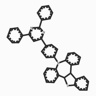 c1ccc(-c2cc(-c3ccc(N4c5ccccc5C5Sc6ccccc6C5c5ccccc54)cc3)nc(-c3ccccc3)n2)cc1